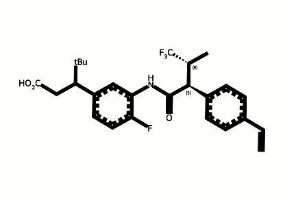 C=Cc1ccc([C@@H](C(=O)Nc2cc(C(CC(=O)O)C(C)(C)C)ccc2F)[C@@H](C)C(F)(F)F)cc1